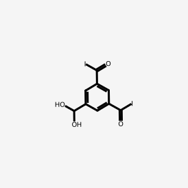 O=C(I)c1cc(C(=O)I)cc(C(O)O)c1